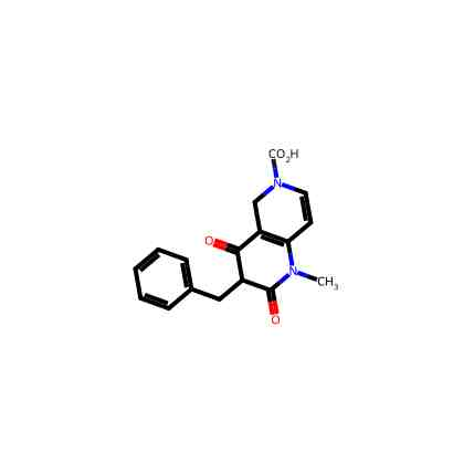 CN1C(=O)C(Cc2ccccc2)C(=O)C2=C1C=CN(C(=O)O)C2